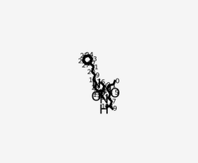 CCCN1C(=O)C(CC(C)C)NC(=O)C12CCN(CCCCc1ccccc1)CC2